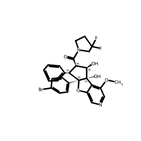 COc1cncc2c1[C@]1(O)[C@H](O)[C@H](C(=O)N3CCC(F)(F)C3)[C@@H](c3ccccc3)[C@]1(c1ccc(Br)cc1)O2